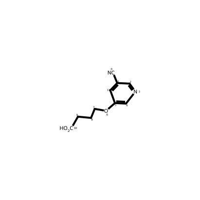 N#Cc1cncc(OCCCC(=O)O)c1